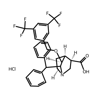 Cl.O=C(O)[C@H]1CN2CC[C@@H]1[C@H](OCc1cc(C(F)(F)F)cc(C(F)(F)F)c1)[C@@H]2C(c1ccccc1)c1ccccc1